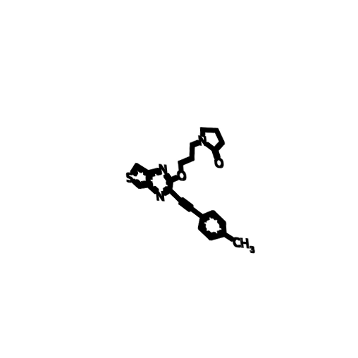 Cc1ccc(C#Cc2nc3cscc3nc2OCCCN2CCCC2=O)cc1